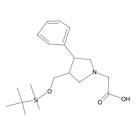 CC(C)(C)[Si](C)(C)OCC1CN(CC(=O)O)CC1c1ccccc1